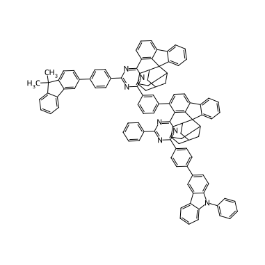 CC1(C)c2ccccc2-c2cc(-c3ccc(-c4nc(-c5cccc(-c6ccc7c(c6-c6nc(-c8ccccc8)nc(-c8ccc(-c9ccc%10c(c9)c9ccccc9n%10-c9ccccc9)cc8)n6)C6(c8ccccc8-7)C7CC8CC(C7)CC6C8)c5)nc(-c5cccc6c5C5(c7ccccc7-6)C6CC7CC(C6)CC5C7)n4)cc3)ccc21